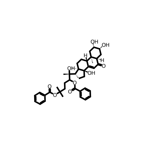 CC(C)(CCC(OC(=O)c1ccccc1)[C@](C)(O)[C@H]1CC[C@@]2(O)C3=CC(=O)[C@@H]4C[C@@H](O)[C@@H](O)C[C@]4(C)[C@H]3CC[C@]12C)OC(=O)c1ccccc1